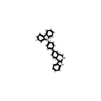 c1ccc2c(c1)sc1ncc3cc(-c4ccc(-n5c6ccccc6c6ccccc65)cc4)ccc3c12